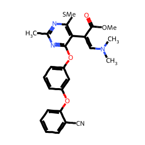 COC(=O)C(=CN(C)C)c1c(Oc2cccc(Oc3ccccc3C#N)c2)nc(C)nc1SC